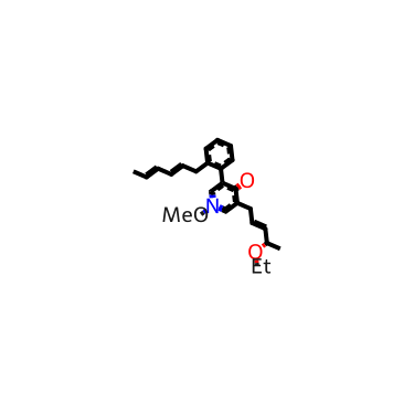 CC=CC=CCc1ccccc1-c1cn(OC)cc(CC=CC(C)OCC)c1=O